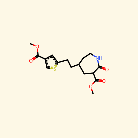 COC(=O)c1csc(CCC2CCNC(=O)C(C(=O)OC)C2)c1